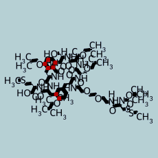 CCSSC[C@H](NC(=O)OC(C)(C)C)C(=O)NCCOCCOCC(=O)N[C@@H](Cc1ccc(OCC(C)C)cc1)C(=O)N[C@@H](COCC(C)C)C(=O)N[C@H](C(=O)N[C@@H](CO)C(=O)N[C@@H](CC(=O)OCC(C)C)C(=O)N[C@@H](Cc1ccccc1)C(=O)N[C@H](C(=O)N[C@@H](CCSC)C(=O)O)C(C)CC)C(C)OCC(C)C